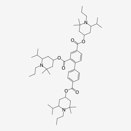 CCCN1C(C(C)C)CC(OC(=O)c2ccc(-c3ccc(C(=O)OC4CC(C(C)C)N(CCC)C(C)(C)C4)cc3C(=O)OC3CC(C(C)C)N(CCC)C(C)(C)C3)cc2)CC1(C)C